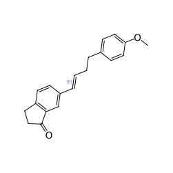 COc1ccc(CC/C=C/c2ccc3c(c2)C(=O)CC3)cc1